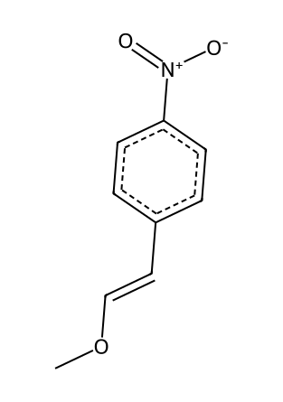 COC=Cc1ccc([N+](=O)[O-])cc1